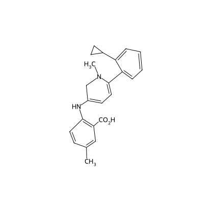 Cc1ccc(NC2=CC=C(c3ccccc3C3CC3)N(C)C2)c(C(=O)O)c1